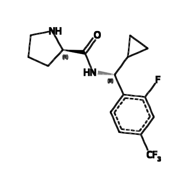 O=C(N[C@@H](c1ccc(C(F)(F)F)cc1F)C1CC1)[C@H]1CCCN1